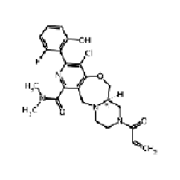 C=CC(=O)N1CCN2Cc3c(C(=O)N(C)C)nc(-c4c(O)cccc4F)c(Cl)c3OC[C@H]2C1